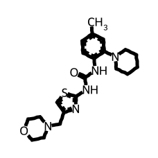 Cc1ccc(NC(=O)Nc2nc(CN3CCOCC3)cs2)c(N2CCCCC2)c1